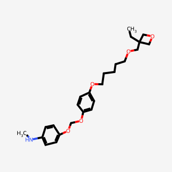 CCC1(COCCCCCOc2ccc(OCOc3ccc(NC)cc3)cc2)COC1